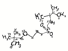 CC(C)C(C)NS(=O)(=O)CCCOCC(C)(C)C